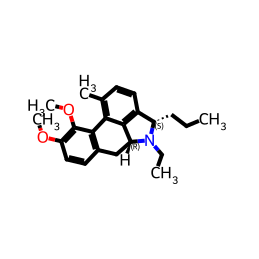 CCC[C@H]1c2ccc(C)c3c2[C@@H](Cc2ccc(OC)c(OC)c2-3)N1CC